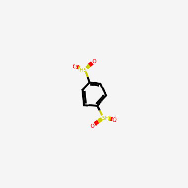 O=[SH](=O)c1ccc([SH](=O)=O)cc1